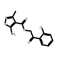 Cc1noc(N)c1C(=O)OCC(=O)c1ccccc1Cl